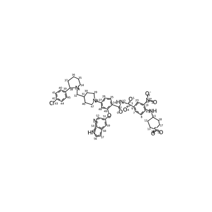 O=C(NS(=O)(=O)c1ccc(NC2CCS(=O)(=O)CC2)c([N+](=O)[O-])c1)c1ccc(N2CCC(CN3CCCCC3c3ccc(Cl)cc3)CC2)cc1Oc1cnc2[nH]ccc2c1